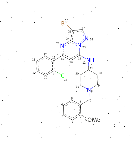 COc1ccccc1CN1CCC(Nc2cc(-c3ccccc3Cl)nc3c(Br)cnn23)CC1